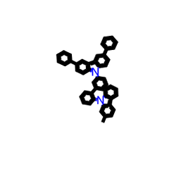 Cc1ccc2c3ccccc3n(-c3ccccc3-c3cccc(-n4c5ccc(-c6ccccc6)cc5c5cc(-c6ccccc6)ccc54)c3)c2c1